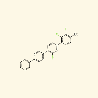 CCc1ccc(-c2ccc(-c3ccc(-c4ccccc4)cc3)c(F)c2)c(F)c1F